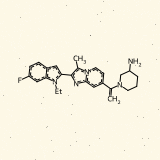 C=C(c1ccn2c(C)c(-c3cc4ccc(F)cc4n3CC)nc2c1)N1CCCC(N)C1